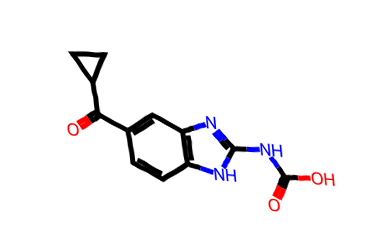 O=C(O)Nc1nc2cc(C(=O)C3CC3)ccc2[nH]1